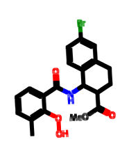 COC(=O)C1CCc2cc(Br)ccc2C1NC(=O)c1cccc(C)c1OO